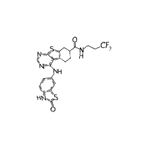 O=C(NCCC(F)(F)F)C1CCc2c(sc3ncnc(Nc4ccc5[nH]c(=O)sc5c4)c23)C1